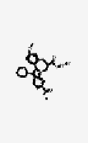 COC(=O)c1ccc2c(C3CCCCC3)c3n(c2c1)CC(C(=O)N=[N+]=[N-])Cc1cc(OC)ccc1-3